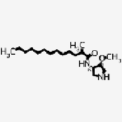 CCCCCCCCCCCC(C)C(=O)N[C@H]1CNC[C@@H]1OC